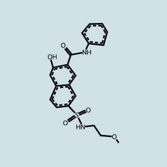 COCCNS(=O)(=O)c1ccc2cc(O)c(C(=O)Nc3ccccc3)cc2c1